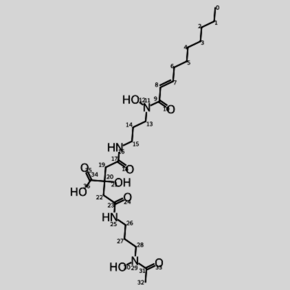 CCCCCCC/C=C/C(=O)N(O)CCCNC(=O)CC(O)(CC(=O)NCCCN(O)C(C)=O)C(=O)O